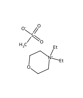 CC[N+]1(CC)CCOCC1.CS(=O)(=O)[O-]